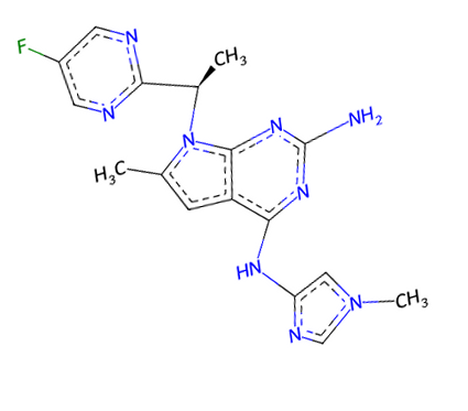 Cc1cc2c(Nc3cn(C)cn3)nc(N)nc2n1[C@H](C)c1ncc(F)cn1